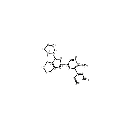 N=C/C(=C\N)c1cc(-c2cc3c(c([C@@H]4COCCN4)c2)COCC3)cnc1N